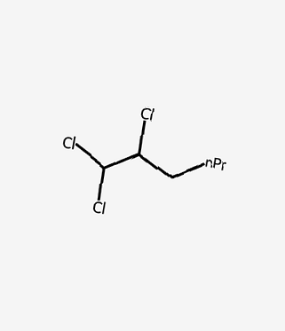 CCCCC(Cl)C(Cl)Cl